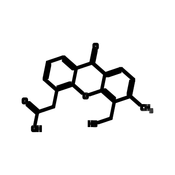 Cc1ccc2c(=O)c3cccc(CC(=O)O)c3oc2c1CS